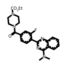 CCOC(=O)N1CCN(C(=O)c2ccc(-c3nc(N(C)C)c4ccccc4n3)c(F)c2)CC1